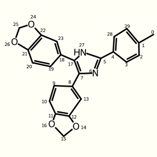 Cc1ccc(-c2nc(-c3ccc4c(c3)OCO4)c(-c3ccc4c(c3)OCO4)[nH]2)cc1